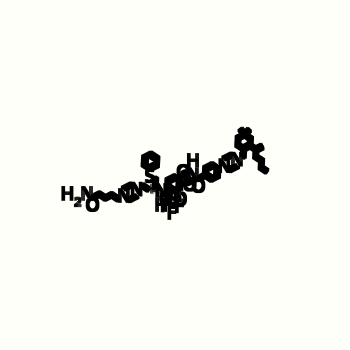 C=C(CCCC)C1=C(CN2CCN(c3ccc(C(=O)NS(=O)(=O)c4ccc(N[C@H](CCN5CCN(CCCCC(N)=O)CC5)CSc5ccccc5)c(S(=O)(=O)C(F)(F)F)c4)cc3)CC2)CCC(C)(C)C1